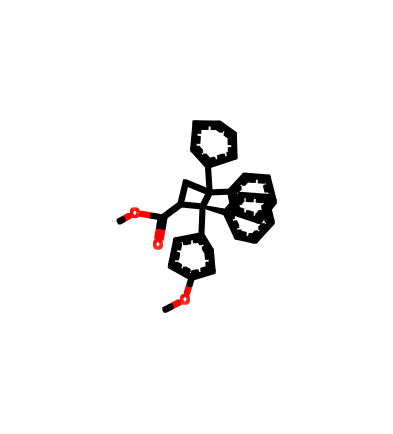 COC(=O)C1CC(c2ccccc2)(c2ccccc2)[C@]1(c1ccccc1)c1ccc(OC)cc1